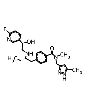 CC[C@@H](Cc1ccc(C(=O)N(C)Cc2cc(C)[nH]n2)cc1)NC[C@H](O)c1ccc(F)nc1